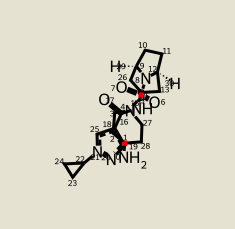 NC1CCN(S(=O)(=O)N2[C@@H]3CC[C@H]2C[C@@H](NC(=O)c2cnn(C4CC4)c2)C3)CC1